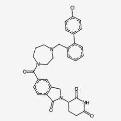 O=C1CCC(N2Cc3cc(C(=O)N4CCCN(Cc5ccccc5-c5ccc(Cl)cc5)CC4)ccc3C2=O)C(=O)N1